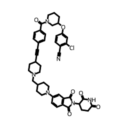 N#Cc1ccc(OC2CCCN(C(=O)c3ccc(C#CC4CCN(CC5CCN(c6ccc7c(c6)C(=O)N(C6CCC(=O)NC6=O)C7=O)CC5)CC4)cc3)C2)cc1Cl